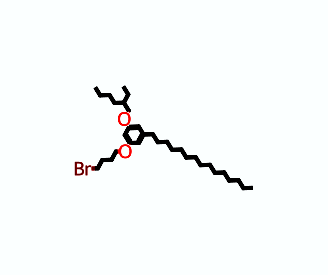 CCCCCCCCCCCCCCCc1cc(OCCCCBr)cc(OCC(CC)CCCC)c1